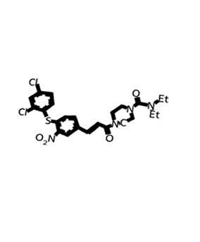 CCN(CC)C(=O)N1CCN(C(=O)/C=C/c2ccc(Sc3ccc(Cl)cc3Cl)c([N+](=O)[O-])c2)CC1